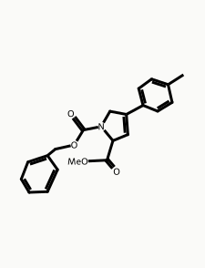 COC(=O)C1C=C(c2ccc(C)cc2)CN1C(=O)OCc1ccccc1